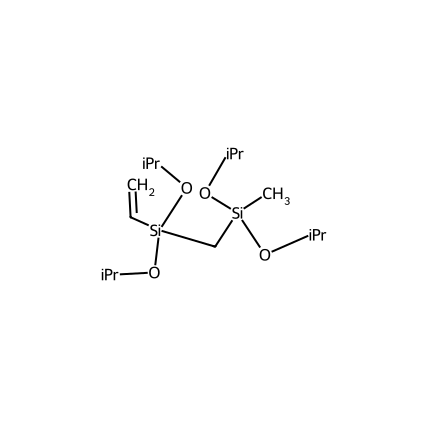 C=C[Si](C[Si](C)(OC(C)C)OC(C)C)(OC(C)C)OC(C)C